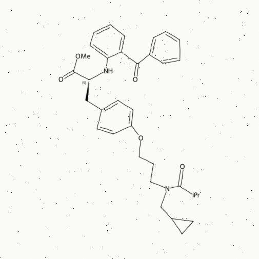 COC(=O)[C@H](Cc1ccc(OCCCN(CC2CC2)C(=O)C(C)C)cc1)Nc1ccccc1C(=O)c1ccccc1